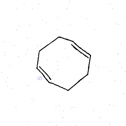 C1=CCC/C=C\CC1